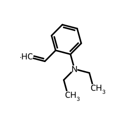 [CH]=Cc1ccccc1N(CC)CC